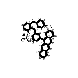 N#Cc1ccc(Cc2cccc(OS(=O)(=O)C(F)(F)F)c2Cc2cccc(-c3c4ccccc4cc4cc5ccccc5cc34)c2)cc1